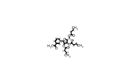 CCCC(=O)OC[C@H]1O[C@@H]([n+]2cccc(C(C)=O)c2)[C@H](OC(=O)CCC)[C@@H]1OC(=O)CCC